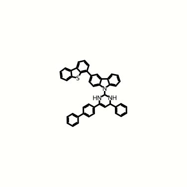 C1=C(c2ccc(-c3ccccc3)cc2)NC(n2c3ccccc3c3cc(-c4cccc5c4sc4ccccc45)ccc32)NC1c1ccccc1